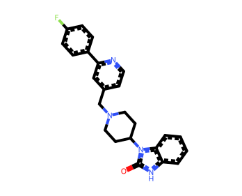 O=c1[nH]c2ccccc2n1C1CCN(Cc2ccnc(-c3ccc(F)cc3)c2)CC1